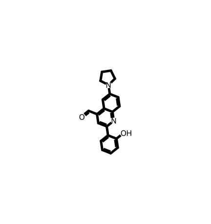 O=Cc1cc(-c2ccccc2O)nc2ccc(N3CCCC3)cc12